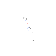 Cc1ccc(CC(=O)Nc2cc(C3CCC(N(C(=O)O)C4(C)CC4)C3)[nH]n2)nc1